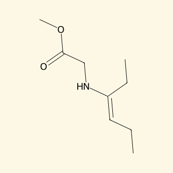 CC/C=C(\CC)NCC(=O)OC